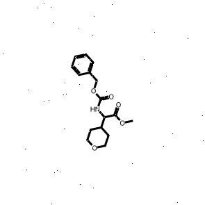 COC(=O)C(NC(=O)OCc1ccccc1)C1CCOCC1